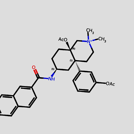 CC(=O)Oc1cccc([C@@]23CC[N+](C)(C)C[C@@]2(OC(C)=O)CC[C@H](NC(=O)c2ccc4ccccc4c2)C3)c1